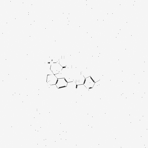 CN1C(=N)N[C@@]2(CCOc3ccc(NC(=O)c4ncc(Cl)cc4F)cc32)CS1(=O)=O